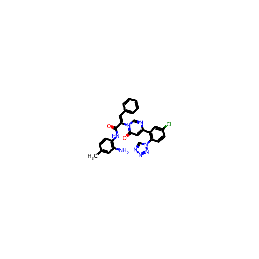 Cc1ccc(NC(=O)C(=Cc2ccccc2)n2cnc(-c3cc(Cl)ccc3-n3cnnn3)cc2=O)c(N)c1